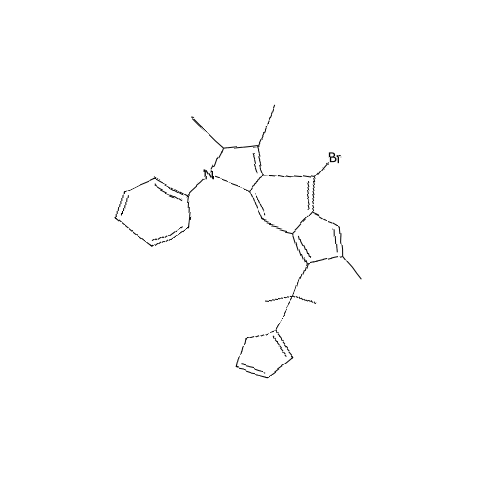 CC1=Cc2c(Br)c3c(cc2=C1C(C)(C)C1=CC=CC1)N(c1ccccc1)C(C)C=3C